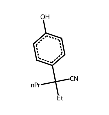 CCCC(C#N)(CC)c1ccc(O)cc1